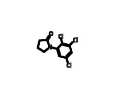 O=C1CCCN1c1cc(Cl)cc(Cl)c1Cl